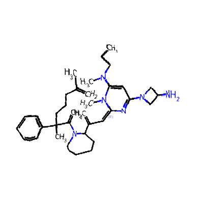 C=C(C)CCCC(C)(C(=C)N1CCCCC1C(=C)/C=C1/N=C(N2CC(N)C2)C=C(N(C)CCC)N1C)c1ccccc1